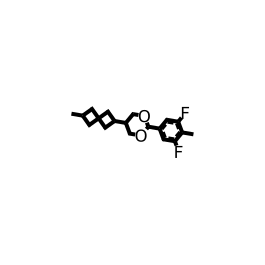 Cc1c(F)cc(C2OCC(C3CC4(CC(C)C4)C3)CO2)cc1F